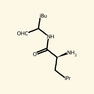 CCC(C)C(C=O)NC(=O)[C@@H](N)CC(C)C